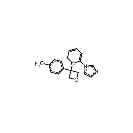 FC(F)(F)c1ccc(C2(N3CC=CC=C3n3ccnc3)COC2)cc1